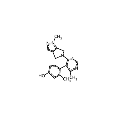 Cc1cc(O)ccc1-c1c(C)ncnc1N1Cc2cnn(C)c2C1